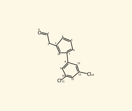 O=CCc1cccc(-c2cc(Cl)cc(Cl)c2)c1